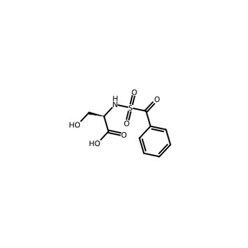 O=C(O)[C@@H](CO)NS(=O)(=O)C(=O)c1ccccc1